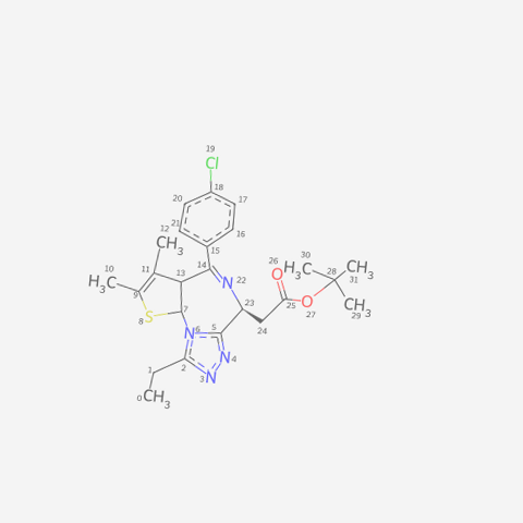 CCc1nnc2n1C1SC(C)=C(C)C1C(c1ccc(Cl)cc1)=N[C@H]2CC(=O)OC(C)(C)C